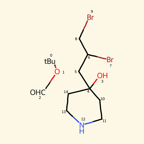 CC(C)(C)OC=O.OC1(CC(Br)CBr)CCNCC1